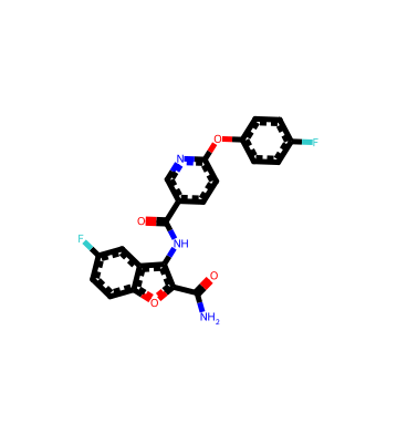 NC(=O)c1oc2ccc(F)cc2c1NC(=O)c1ccc(Oc2ccc(F)cc2)nc1